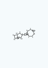 C1CCC[N]CC1.OC1CC2CC[N+]2C1